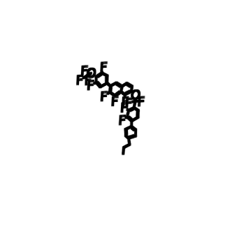 CCCc1ccc(-c2ccc(C(F)(F)Oc3ccc4cc(-c5cc(F)c(OC(F)(F)F)c(F)c5)c(F)c(F)c4c3F)c(F)c2F)cc1